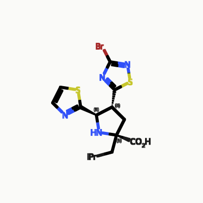 CC(C)C[C@@]1(C(=O)O)C[C@@H](c2nc(Br)ns2)[C@H](c2nccs2)N1